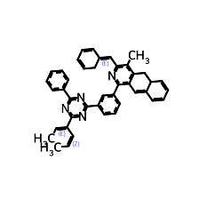 C/C=C\C(=C/C)c1nc(-c2ccccc2)nc(-c2cccc(-c3nc(/C=C4/C=CC=CC4)c(C)c4c3C=C3C=CC=CC3C4)c2)n1